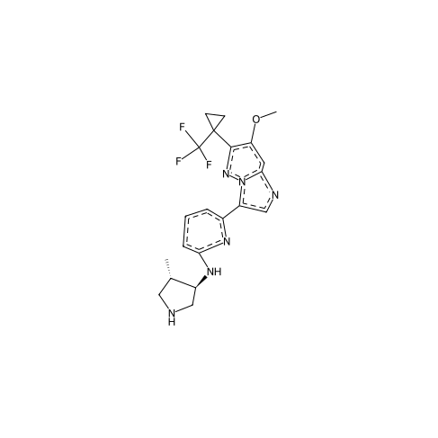 COc1cc2ncc(-c3cccc(N[C@H]4CNC[C@@H]4C)n3)n2nc1C1(C(F)(F)F)CC1